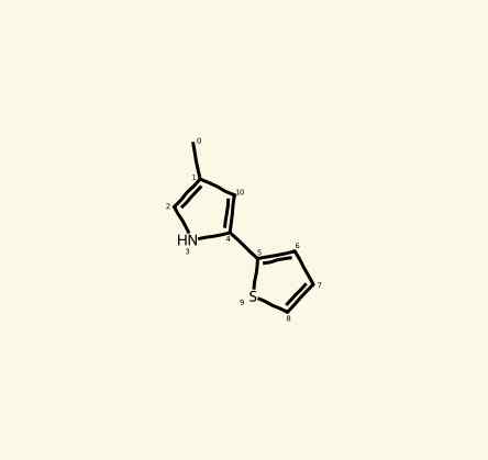 Cc1c[nH]c(-c2cccs2)c1